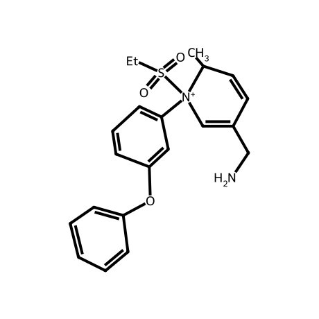 CCS(=O)(=O)[N+]1(c2cccc(Oc3ccccc3)c2)C=C(CN)C=CC1C